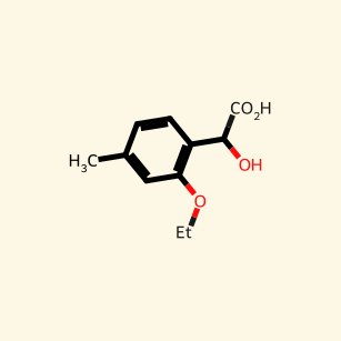 CCOc1cc(C)ccc1C(O)C(=O)O